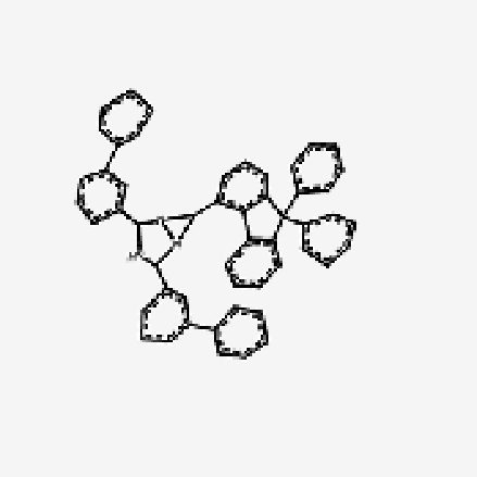 c1ccc(-c2cccc(C3NC(c4cccc(-c5ccccc5)c4)N4C(c5cccc6c5-c5ccccc5C6(c5ccccc5)c5ccccc5)N34)c2)cc1